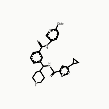 COc1ccc(NC(=O)c2cccc(C(NC(=O)c3cc(C4CC4)on3)C3CCNCC3)c2)cn1